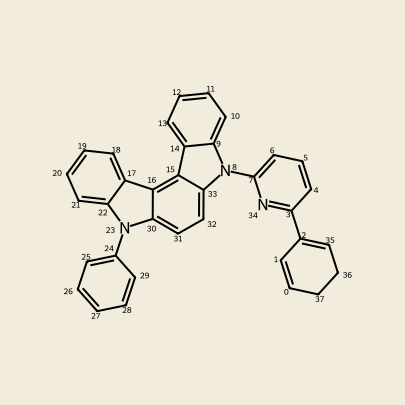 C1=CC(c2cccc(-n3c4ccccc4c4c5c6ccccc6n(-c6ccccc6)c5ccc43)n2)=CCC1